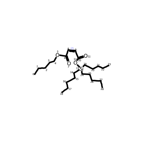 CCCCCOC(=O)/C=C\C(=O)O[Si](CCCCC)(CCCCC)CCCCC